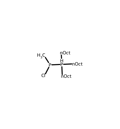 CCCCCCCC[PH](CCCCCCCC)(CCCCCCCC)P(C)Cl